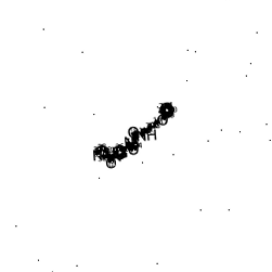 O=C(c1ccc(-c2nc(C(=O)NCCCCCOc3ccccc3)co2)cc1)c1cccnc1